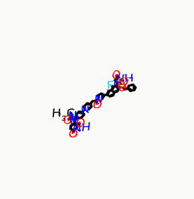 Cn1c(=O)n(C2CCC(=O)NC2=O)c2ccc(N3CCC(CC(=O)N4CC=C(c5ccc6cc(OCc7ccccc7)c(N7CC(=O)NS7(=O)=O)c(F)c6c5)C4)CC3)cc21